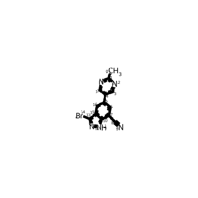 Cc1ncc(-c2cc(C#N)c3[nH]nc(Br)c3c2)cn1